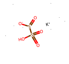 O=S([O-])S(=O)(=O)O.[K+]